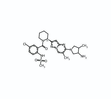 Cc1cn2nc([C@@H]3CCCCN3C(=O)c3cc(Cl)ccc3NS(C)(=O)=O)cc2nc1N1CC(C)C(N)C1